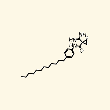 CCCCCCCCCCCCc1ccc(NC(=O)C2(C(=N)N)CC2)cc1